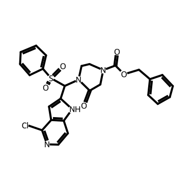 O=C(OCc1ccccc1)N1CCN(C(c2cc3c(Cl)nccc3[nH]2)S(=O)(=O)c2ccccc2)C(=O)C1